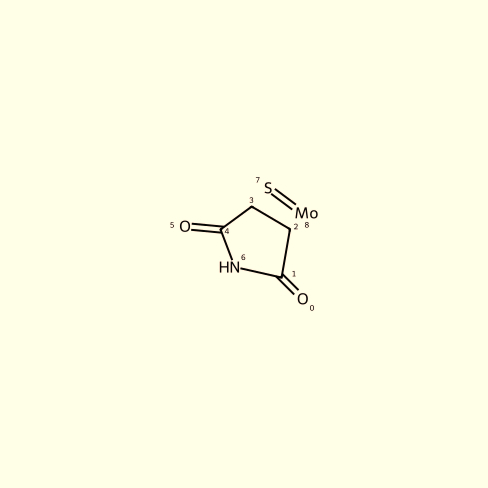 O=C1CCC(=O)N1.[S]=[Mo]